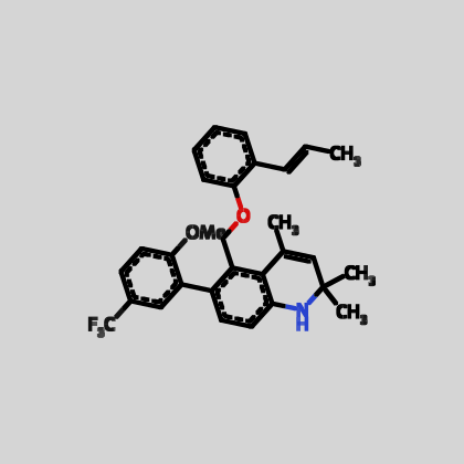 CC=Cc1ccccc1OCc1c(-c2cc(C(F)(F)F)ccc2OC)ccc2c1C(C)=CC(C)(C)N2